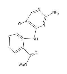 CNC(=O)c1ccccc1Nc1nc(N)ncc1Cl